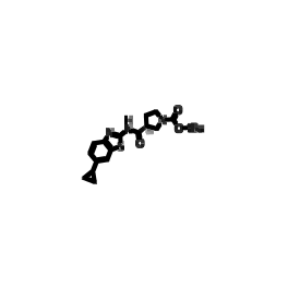 CC(C)(C)OC(=O)N1CC[C@H](C(=O)Nc2nc3ccc(C4CC4)cc3s2)C1